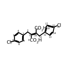 O=C(O)/C(Cc1ccc(Cl)cc1)=C(\Cc1ccc(Cl)cc1)C(=O)O